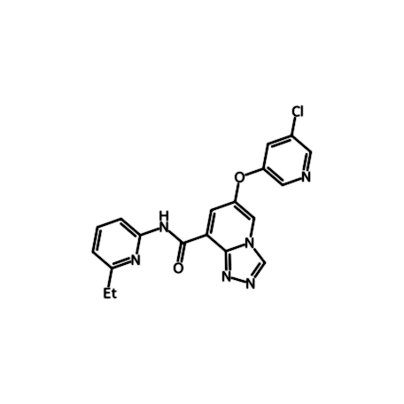 CCc1cccc(NC(=O)c2cc(Oc3cncc(Cl)c3)cn3cnnc23)n1